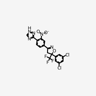 O=[N+]([O-])c1cc(C2=NOC(c3cc(Cl)cc(Cl)c3)(C(F)(F)F)C2)ccc1-c1nc[nH]n1